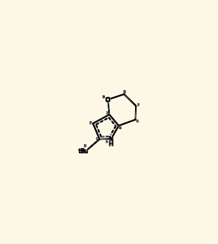 CC(C)(C)c1cc2c([nH]1)CCCO2